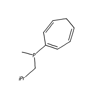 CC(C)CP(C)C1=CC=CCC=C1